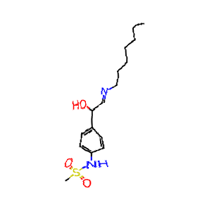 CCCCCCCN=CC(O)c1ccc(NS(C)(=O)=O)cc1